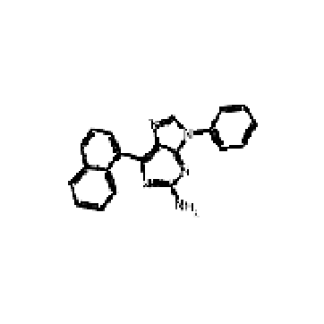 Nc1nc(-c2cccc3ccccc23)c2ncn(-c3ccccc3)c2n1